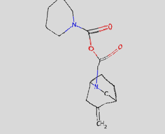 C=C1CC2CCC1CN2C(=O)OC(=O)N1CCCCC1